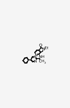 CCN1Cc2c(ccnc2NC(C)c2ncc(-c3ccccc3)cn2)C1=O